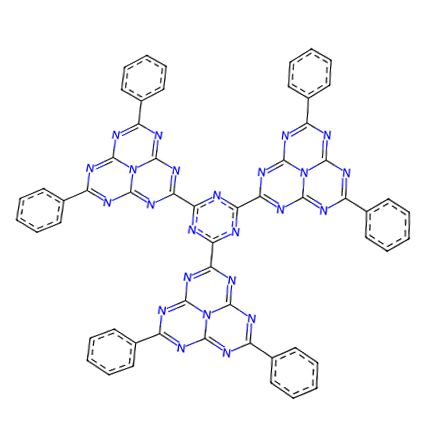 c1ccc(C2=NC3=NC(c4ccccc4)=NC4=NC(c5nc(C6=NC7=NC(c8ccccc8)=NC8=NC(c9ccccc9)=NC(=N6)N87)nc(C6=NC7=NC(c8ccccc8)=NC8=NC(c9ccccc9)=NC(=N6)N87)n5)=NC(=N2)N34)cc1